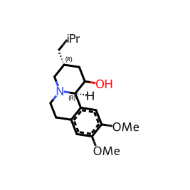 COc1cc2c(cc1OC)[C@@H]1C(O)C[C@@H](CC(C)C)CN1CC2